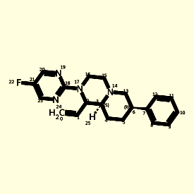 C=CC1[C@@H]2CC[C@H](c3ccccc3)CN2CCN1c1ncc(F)cn1